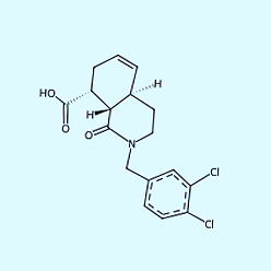 O=C(O)[C@@H]1CC=C[C@H]2CCN(Cc3ccc(Cl)c(Cl)c3)C(=O)[C@@H]21